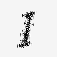 CC(CNc1ccc2c(c1S(=O)(=O)O)Oc1c(Cl)c3c(c(Cl)c1=N2)Oc1c(ccc(NCC(C)Nc2nc(Cl)nc(Nc4cc(S(=O)(=O)O)ccc4S(=O)(=O)O)n2)c1S(=O)(=O)O)N=3)Nc1nc(Cl)nc(Nc2cc(S(=O)(=O)O)ccc2S(=O)(=O)O)n1